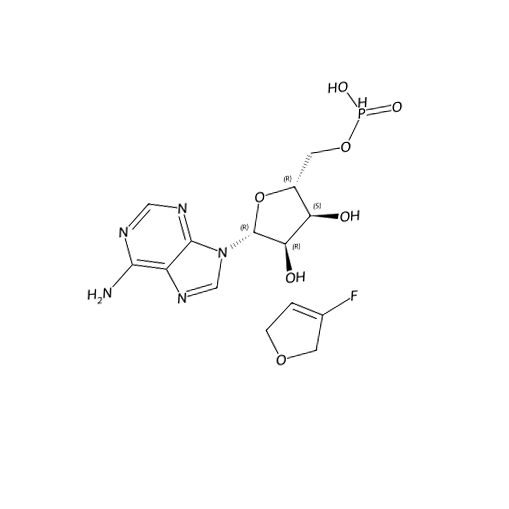 FC1=CCOC1.Nc1ncnc2c1ncn2[C@@H]1O[C@H](CO[PH](=O)O)[C@@H](O)[C@H]1O